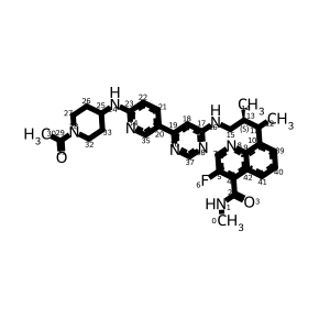 CNC(=O)c1c(F)cnc2c(C(C)[C@H](C)CNc3cc(-c4ccc(NC5CCN(C(C)=O)CC5)nc4)ncn3)cccc12